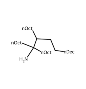 CCCCCCCCCCCCC(CCCCCCCC)C(N)(CCCCCCCC)CCCCCCCC